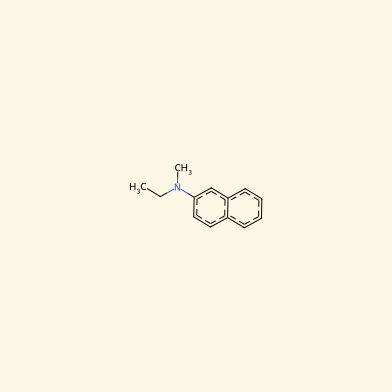 CCN(C)c1ccc2ccccc2c1